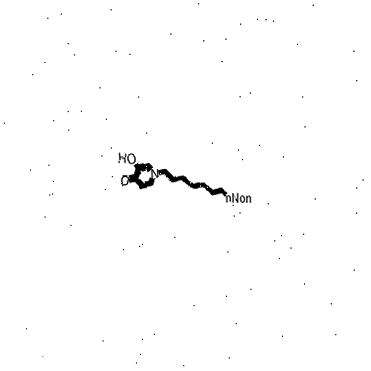 CCCCCCCCCCCCCCCCn1ccc(=O)c(O)c1